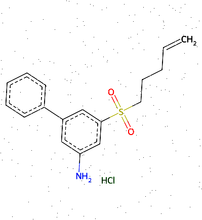 C=CCCCS(=O)(=O)c1cc(N)cc(-c2ccccc2)c1.Cl